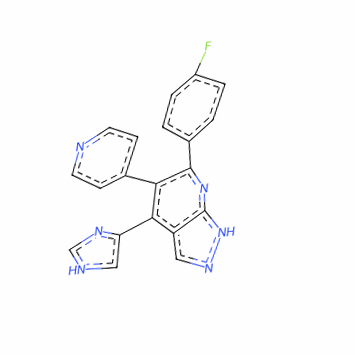 Fc1ccc(-c2nc3[nH]ncc3c(-c3c[nH]cn3)c2-c2ccncc2)cc1